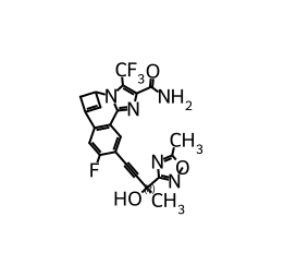 Cc1nc([C@](C)(O)C#Cc2cc3c(cc2F)C2=CC(C2)n2c-3nc(C(N)=O)c2C(F)(F)F)no1